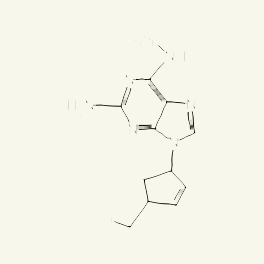 CCCNc1nc(N)nc2c1ncn2C1C=CC(CO)C1